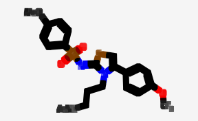 COc1ccc(S(=O)(=O)/N=c2\scc(-c3ccc(OC(F)(F)F)cc3)n2CCCNC(C)=O)cc1